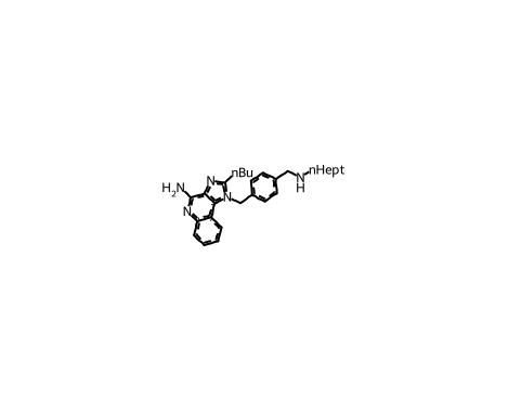 CCCCCCCNCc1ccc(Cn2c(CCCC)nc3c(N)nc4ccccc4c32)cc1